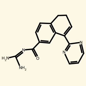 NC(N)=NC(=O)c1ccc2c(c1)C(c1ncccn1)=CCC2